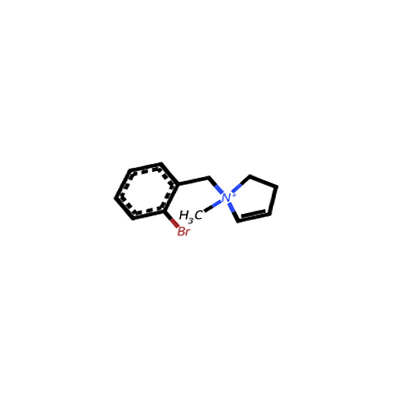 C[N+]1(Cc2ccccc2Br)C=CCC1